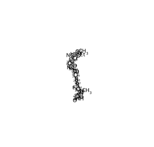 CCN(C)S(=O)(=O)Nc1ccc(F)c(Oc2ccc3ncn([C@H]4COC5(CCC(N6CC7(CN(c8cc9c(cc8F)c(N8CCC(=O)NC8=O)nn9C)C7)C6)CC5)C4)c(=O)c3c2)c1C#N